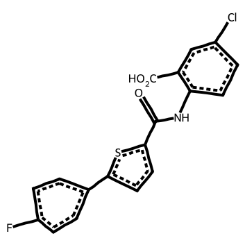 O=C(Nc1ccc(Cl)cc1C(=O)O)c1ccc(-c2ccc(F)cc2)s1